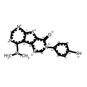 CN(C)c1ncnc2sc3c(=O)n(-c4ccc(S)cc4)cnc3c12